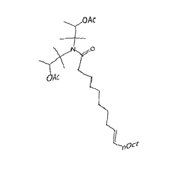 CCCCCCCCC=CCCCCCCCC(=O)N(C(C)(C)C(C)OC(C)=O)C(C)(C)C(C)OC(C)=O